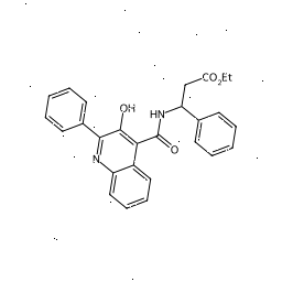 CCOC(=O)CC(NC(=O)c1c(O)c(-c2ccccc2)nc2ccccc12)c1ccccc1